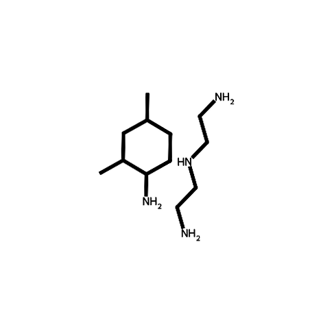 CC1CCC(N)C(C)C1.NCCNCCN